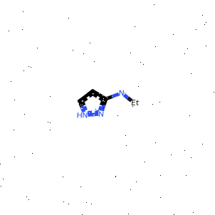 CC[N]c1cc[nH]n1